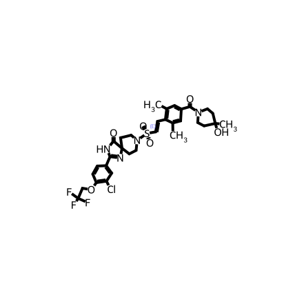 Cc1cc(C(=O)N2CCC(C)(O)CC2)cc(C)c1/C=C/S(=O)(=O)N1CCC2(CC1)N=C(c1ccc(OCC(F)(F)F)c(Cl)c1)NC2=O